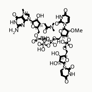 [BH3-]P(=O)(OC[C@H]1O[C@@H](n2c[n+](C)c3c(=O)[nH]c(N)nc32)[C@H](O)[C@@H]1CC(=O)N(C)C)OP(=O)(O)OP(=O)(O)OC[C@H]1O[C@@H](n2ccc(=O)[nH]c2=O)[C@H](OC)[C@@H]1OP(=O)(O)OC[C@H]1O[C@@H](n2ccc(=O)[nH]c2=O)[C@H](O)[C@@H]1O